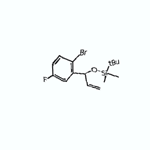 C=CC(O[Si](C)(C)C(C)(C)C)c1cc(F)ccc1Br